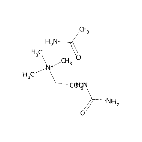 C[N+](C)(C)CC(=O)[O-].NC(=O)C(F)(F)F.NC(N)=O